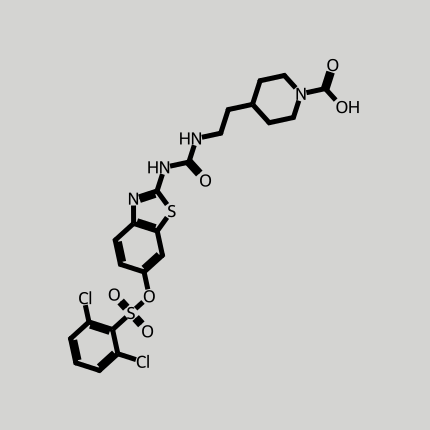 O=C(NCCC1CCN(C(=O)O)CC1)Nc1nc2ccc(OS(=O)(=O)c3c(Cl)cccc3Cl)cc2s1